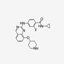 O=C(NC1CC1)c1ccc(Nc2ncc3cccc(OC4CCNCC4)c3n2)cc1F